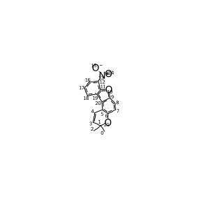 CC1(C)C=Cc2c(ccc3oc4c([N+](=O)[O-])cccc4c23)O1